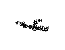 CCCOC(=O)CN1CCC(C2CCN(C(=O)[C@@H](Cc3cc(C)c(O)c(C)c3)OC(=O)N3CCC(N4CCc5ccccc5NC4=O)CC3)CC2)CC1